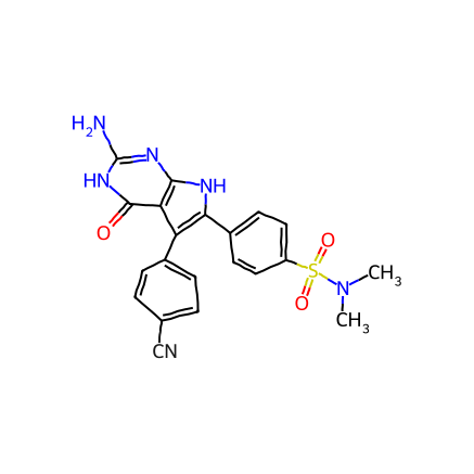 CN(C)S(=O)(=O)c1ccc(-c2[nH]c3nc(N)[nH]c(=O)c3c2-c2ccc(C#N)cc2)cc1